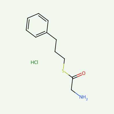 Cl.NCC(=O)SCCCc1ccccc1